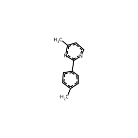 [CH2]c1ccc(-c2nccc(C)n2)cc1